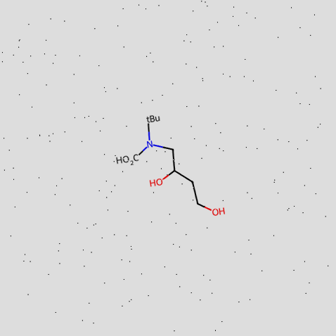 CC(C)(C)N(CC(O)CCO)C(=O)O